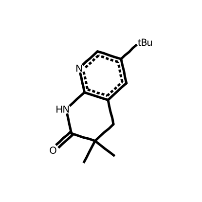 CC1(C)Cc2cc(C(C)(C)C)cnc2NC1=O